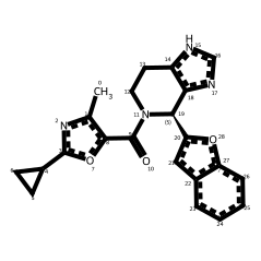 Cc1nc(C2CC2)oc1C(=O)N1CCc2[nH]cnc2[C@H]1c1cc2ccccc2o1